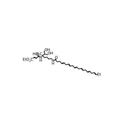 CCC=CCC=CCC=CCC=CCC=CCC=CCCC(=O)NCCCC[C@@](NC(=O)C=CC(=O)OCC)(C(=O)O)C(CO)CO